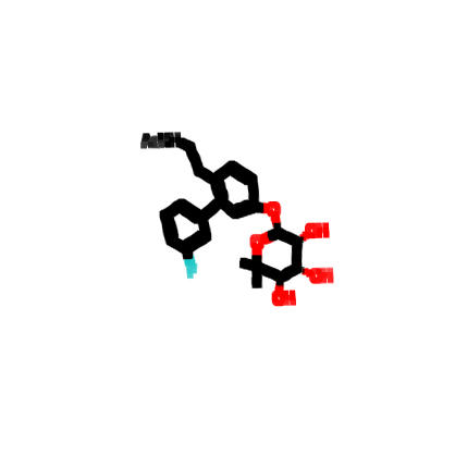 CC(=O)NCCc1ccc(O[C@@H]2OC(C)(C)[C@H](O)[C@@H](O)[C@H]2O)cc1-c1cccc(F)c1